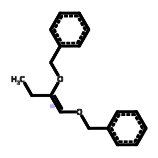 CC/C(=C/OCc1ccccc1)OCc1ccccc1